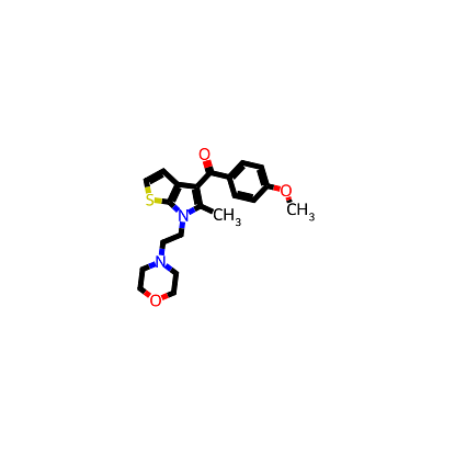 COc1ccc(C(=O)c2c(C)n(CCN3CCOCC3)c3sccc23)cc1